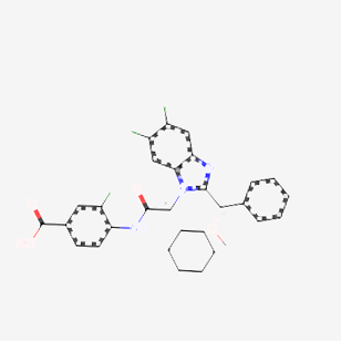 CO[C@@H](c1ccccc1)c1nc2cc(F)c(F)cc2n1[C@@H](C(=O)Nc1ccc(C(=O)O)cc1F)C1CCCCC1